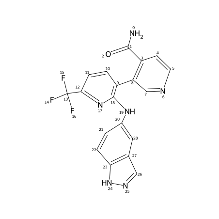 NC(=O)c1ccncc1-c1ccc(C(F)(F)F)nc1Nc1ccc2[nH]ncc2c1